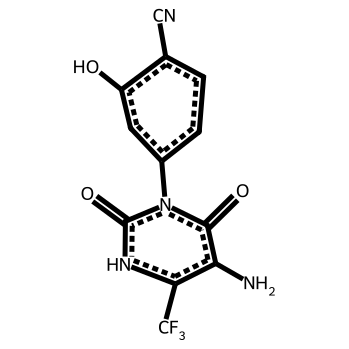 N#Cc1ccc(-n2c(=O)[nH]c(C(F)(F)F)c(N)c2=O)cc1O